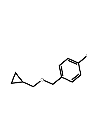 Ic1ccc(COCC2CC2)cc1